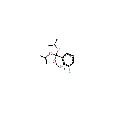 CC(C)OC(O[SiH3])(OC(C)C)c1cccc(F)c1